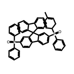 CC1=CCC(P(=O)(c2ccccc2)c2ccc3c(c2)C2(c4ccccc4-c4ccccc42)c2cc(P(=O)(c4ccccc4)c4ccccc4)ccc2-3)C=C1